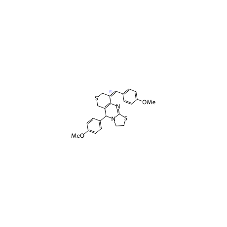 COc1ccc(/C=C2/CSCC3=C2N=C2SCCN2C3c2ccc(OC)cc2)cc1